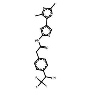 Cc1nc(C)c(-c2csc(NC(=O)Cc3ccc(C(O)C(F)(F)F)cc3)n2)s1